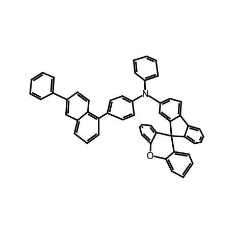 c1ccc(-c2ccc3c(-c4ccc(N(c5ccccc5)c5ccc6c(c5)C5(c7ccccc7Oc7ccccc75)c5ccccc5-6)cc4)cccc3c2)cc1